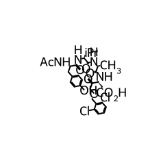 CC(=O)N[C@@H](Cc1ccc(O)cc1)C(=O)N[C@H](C(=O)N[C@@H](C)C(=O)N[C@@H](CC(=O)O)C(=O)COCc1c(Cl)cccc1Cl)C(C)C